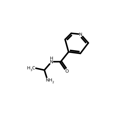 CC(N)NC(=O)c1ccncc1